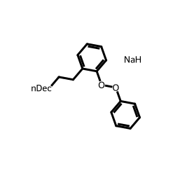 CCCCCCCCCCCCc1ccccc1OOc1ccccc1.[NaH]